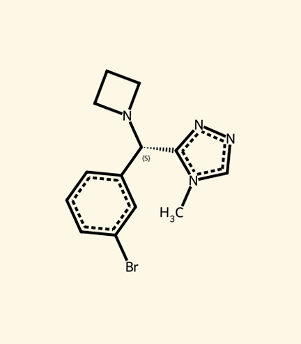 Cn1cnnc1[C@H](c1cccc(Br)c1)N1CCC1